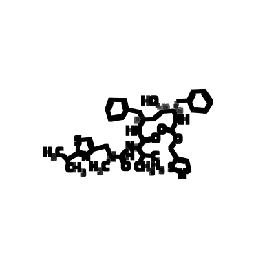 CC(C)c1nc(CN(C)C(=O)N[C@H](C(=O)N[C@@H](Cc2ccccc2)C[C@H](O)[C@H](Cc2ccccc2)NC(=O)OCc2ccns2)C(C)C)cs1